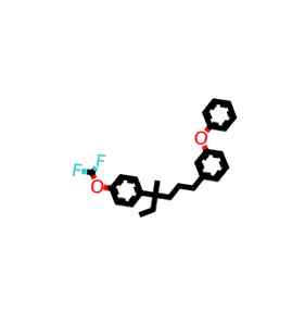 CCC(C)(CCCc1cccc(Oc2ccccc2)c1)c1ccc(OC(F)F)cc1